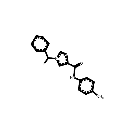 Cc1ccc(NC(=O)c2cn(C(I)c3ccccc3)cn2)cc1